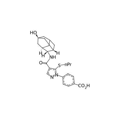 CCCSc1c(C(=O)N[C@@H]2[C@@H]3CC4C[C@H]2C[C@@](O)(C4)C3)cnn1-c1ccc(C(=O)O)cc1